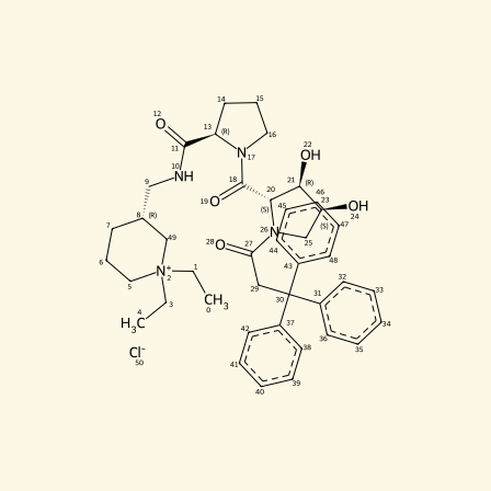 CC[N+]1(CC)CCC[C@H](CNC(=O)[C@H]2CCCN2C(=O)[C@@H]2[C@@H](O)[C@@H](O)CN2C(=O)CC(c2ccccc2)(c2ccccc2)c2ccccc2)C1.[Cl-]